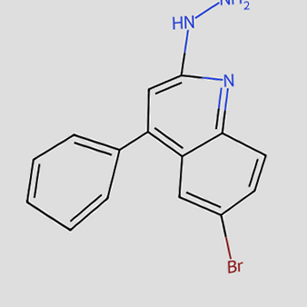 NNc1cc(-c2ccccc2)c2cc(Br)ccc2n1